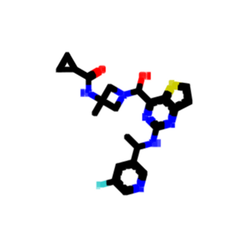 CC(Nc1nc(C(O)N2CC(C)(NC(=O)C3CC3)C2)c2sccc2n1)c1cncc(F)c1